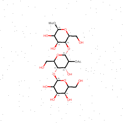 CO[C@H]1OC(CO)[C@@H](O[C@H]2OC(CO)[C@@H](O[C@H]3OC(CO)[C@@H](O)[C@@H](O)C3O)[C@@H](O)C2OC(C)=O)[C@@H](O)C1O